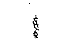 O=C(OC1CCC2(CC1)CO2)N1CCC2(CCN(CC(F)F)CC2)CC1